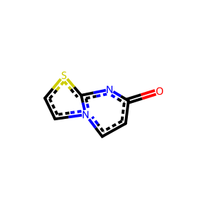 O=c1ccn2ccsc2n1